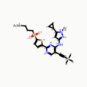 CC(=O)NCCCS(=O)(=O)c1ccc(-c2ncc(C#C[Si](C)(C)C)c(Nc3cc(C4CC4)n(C(C)=O)n3)n2)s1